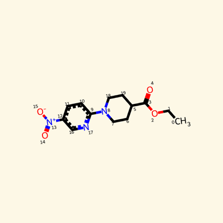 CCOC(=O)C1CCN(c2ccc([N+](=O)[O-])cn2)CC1